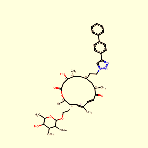 CC[C@H]1OC(=O)C[C@@H](O)[C@H](C)C[C@@H](CCn2cc(-c3ccc(-c4ccccc4)cc3)nn2)C[C@@H](C)C(=O)/C=C/C(C)=C/[C@@H]1CCOC1OC(C)C(O)C(OC)C1OC